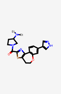 CCN(CC)C1CCN(C(=O)c2nc3c(s2)CCOc2cc(-c4cn[nH]c4)ccc2-3)C1